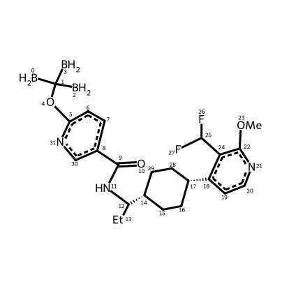 BC(B)(B)Oc1ccc(C(=O)NC(CC)[C@H]2CC[C@@H](c3ccnc(OC)c3C(F)F)CC2)cn1